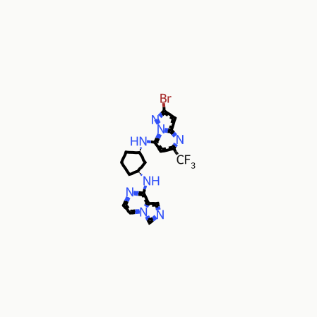 FC(F)(F)c1cc(N[C@H]2CCC[C@@H](Nc3nccn4cncc34)C2)n2nc(Br)cc2n1